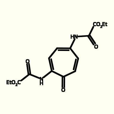 CCOC(=O)C(=O)Nc1ccc(NC(=O)C(=O)OCC)c(=O)cc1